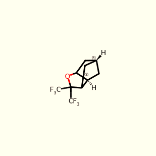 FC(F)(F)C1(C(F)(F)F)OC2C[C@H]3CC1[C@@H]2C3